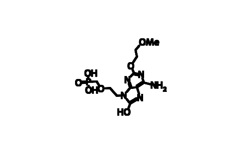 COCCOc1nc(N)c2nc(O)n(CCOCP(=O)(O)O)c2n1